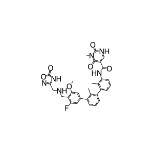 COc1cc(-c2cccc(-c3cccc(NC(=O)c4c[nH]c(=O)n(C)c4=O)c3C)c2C)cc(F)c1CNCc1noc(=O)[nH]1